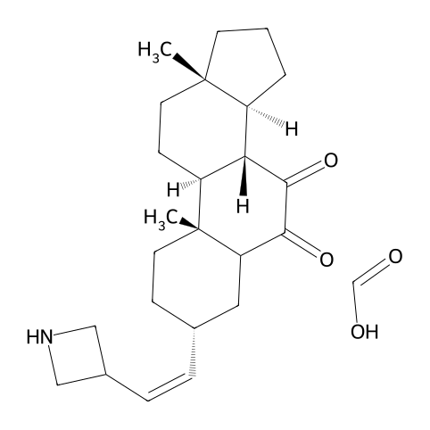 C[C@@]12CCC[C@H]1[C@@H]1C(=O)C(=O)C3C[C@H](/C=C\C4CNC4)CC[C@]3(C)[C@H]1CC2.O=CO